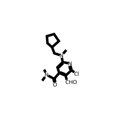 CN(C)C(=O)c1cc(N(C)CC2CCCC2)nc(Cl)c1C=O